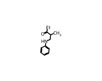 CCC(=O)C(C)CNc1ccccc1